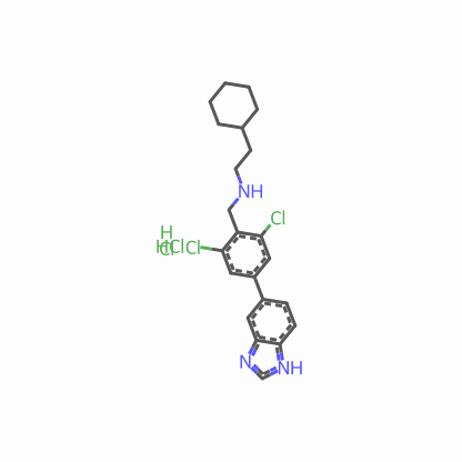 Cl.Cl.Clc1cc(-c2ccc3[nH]cnc3c2)cc(Cl)c1CNCCC1CCCCC1